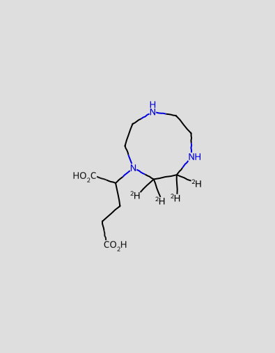 [2H]C1([2H])NCCNCCN(C(CCC(=O)O)C(=O)O)C1([2H])[2H]